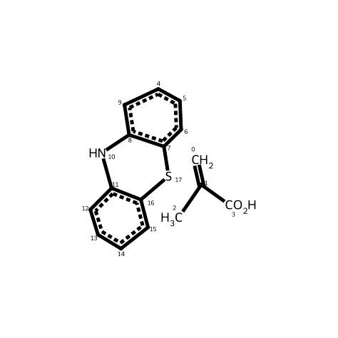 C=C(C)C(=O)O.c1ccc2c(c1)Nc1ccccc1S2